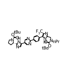 CCCN(Cc1nc(C(F)(F)F)c(-c2ccc(-c3ncc(-c4cnc([C@@H]5CCCN5C(=O)OC(C)(C)C)[nH]4)cn3)cc2)[nH]1)C(=O)OC(C)(C)C